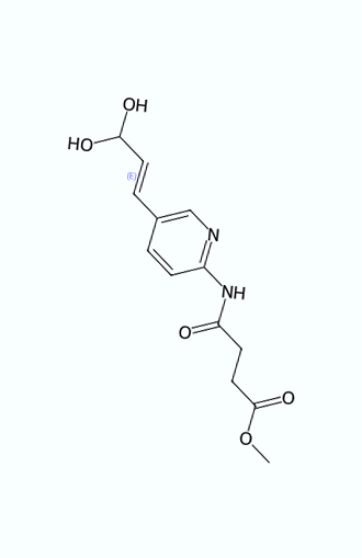 COC(=O)CCC(=O)Nc1ccc(/C=C/C(O)O)cn1